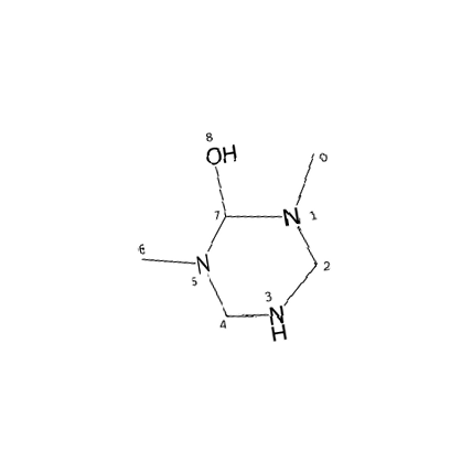 CN1CNCN(C)C1O